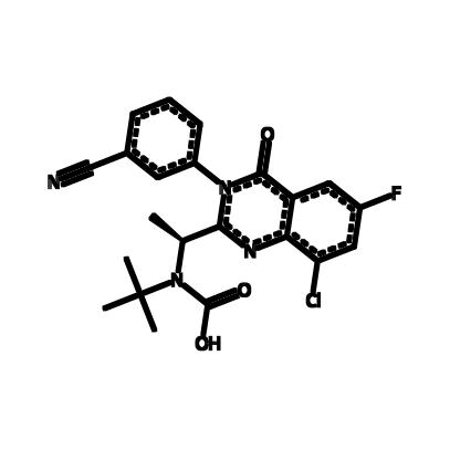 C[C@@H](c1nc2c(Cl)cc(F)cc2c(=O)n1-c1cccc(C#N)c1)N(C(=O)O)C(C)(C)C